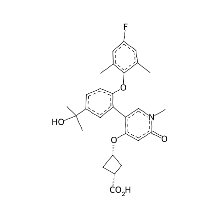 Cc1cc(F)cc(C)c1Oc1ccc(C(C)(C)O)cc1-c1cn(C)c(=O)cc1O[C@H]1C[C@@H](C(=O)O)C1